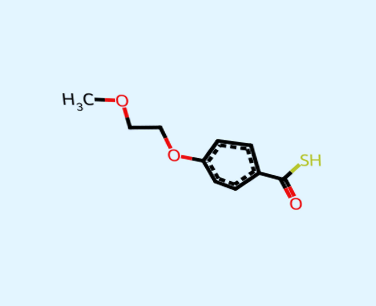 COCCOc1ccc(C(=O)S)cc1